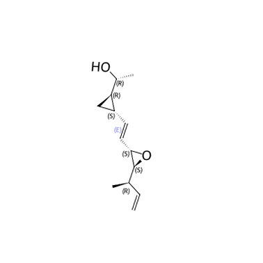 C=C[C@@H](C)[C@@H]1O[C@H]1/C=C/[C@@H]1C[C@H]1[C@@H](C)O